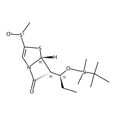 CC[C@H](O[Si](C)(C)C(C)(C)C)[C@@H]1C(=O)N2C=C([S+](C)[O-])S[C@H]12